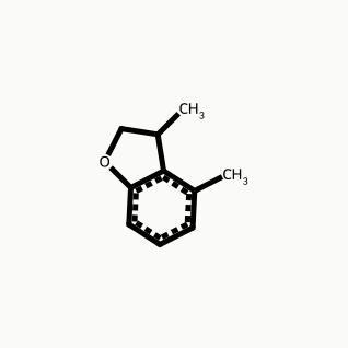 Cc1cccc2c1C(C)CO2